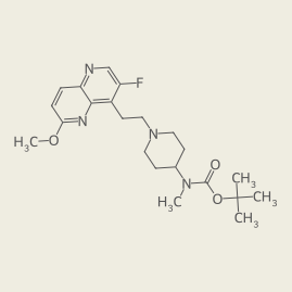 COc1ccc2ncc(F)c(CCN3CCC(N(C)C(=O)OC(C)(C)C)CC3)c2n1